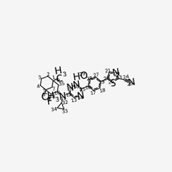 C[C@]12CCC[C@](C)(C1)[C@H](F)[C@H](N(c1cnc(-c3ccc(-c4cnc(C#N)s4)cc3O)nn1)C1CC1)C2